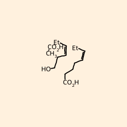 CC(=O)O.CC/C=C\CCCC(=O)O.CC/C=C\CCO